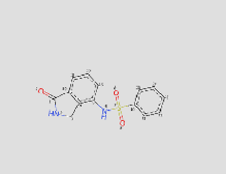 O=C1NCc2c(NS(=O)(=O)c3ccccc3)cccc21